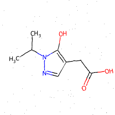 CC(C)n1ncc(CC(=O)O)c1O